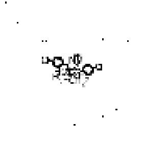 CC(C)(C)C(O)(Cc1ccc(Cl)cc1)C(Oc1ccc(Cl)cc1)n1cncn1